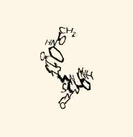 C=CC(=O)N[C@@H]1CCC[C@H](C(=O)N2CCN(Cc3cc4nc(-c5cccc6[nH]ncc56)nc(N5CCOCC5)c4s3)CC2)C1